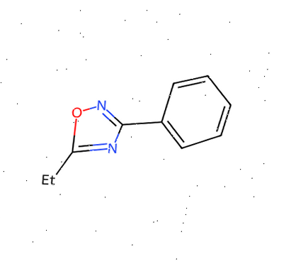 CCc1nc(-c2ccccc2)no1